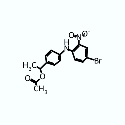 CC(=O)OC(C)c1ccc(Nc2ccc(Br)cc2[N+](=O)[O-])cc1